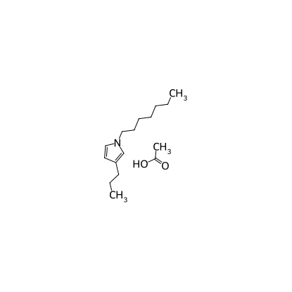 CC(=O)O.CCCCCCCn1ccc(CCC)c1